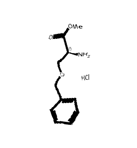 COC(=O)[C@@H](N)COCc1ccccc1.Cl